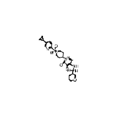 [2H]C([2H])(Nc1cnn(C2CCN(S(=O)(=O)c3ccc(C4CC4)cn3)CC2)c(=O)c1Cl)[C@@H]1CCCOC1